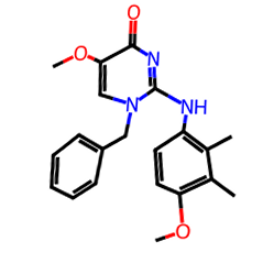 COc1ccc(Nc2nc(=O)c(OC)cn2Cc2ccccc2)c(C)c1C